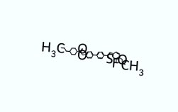 CCCC1CCC(C(=O)Oc2ccc(-c3ccc(-c4cc5ccc(OCC)c(F)c5s4)cc3)cc2)CC1